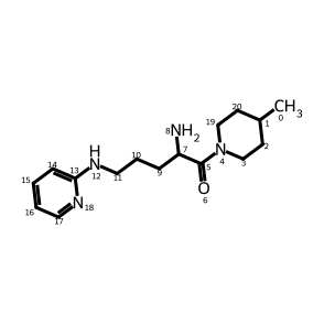 CC1CCN(C(=O)C(N)CCCNc2ccccn2)CC1